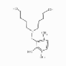 Cc1ccc(C(C)(C)C)c(O)c1CN(CCCCO)CCCCO